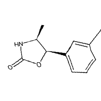 Cc1cccc([C@H]2OC(=O)N[C@H]2C)c1